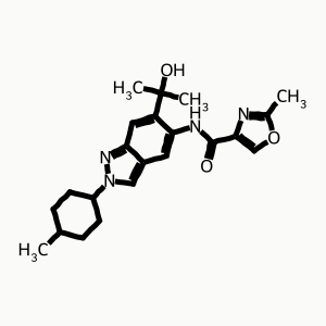 Cc1nc(C(=O)Nc2cc3cn(C4CCC(C)CC4)nc3cc2C(C)(C)O)co1